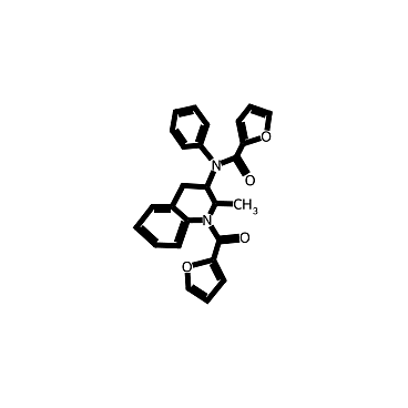 CC1C(N(C(=O)c2ccco2)c2ccccc2)Cc2ccccc2N1C(=O)c1ccco1